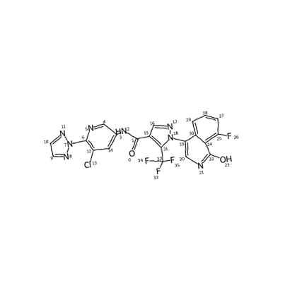 O=C(Nc1cnc(-n2nccn2)c(Cl)c1)c1cnn(-c2cnc(O)c3c(F)cccc23)c1C(F)(F)F